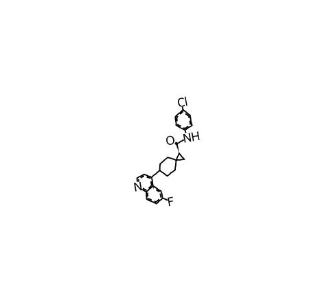 O=C(Nc1ccc(Cl)cc1)[C@H]1CC12CCC(c1ccnc3ccc(F)cc13)CC2